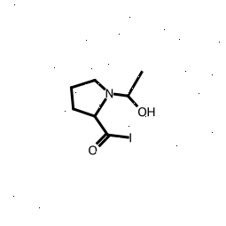 CC(O)N1CCCC1C(=O)I